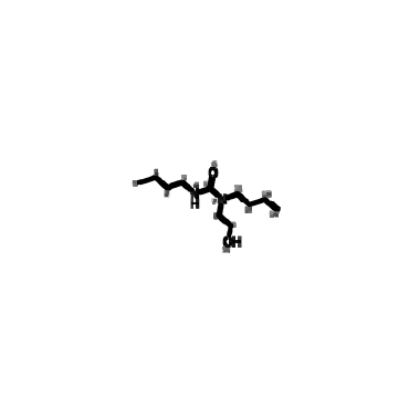 CCCCNC(=O)N(CCO)CCCC